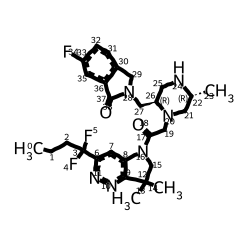 CCCC(F)(F)c1cc2c(nn1)C(C)(C)CN2C(=O)CN1C[C@@H](C)NC[C@@H]1CN1Cc2ccc(F)cc2C1=O